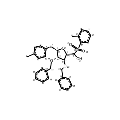 Cc1ccc(S[C@H]2O[C@@H](C(O)S(=O)(=O)c3ccccc3C)[C@@H](OCc3ccccc3)[C@@H]2OCc2ccccc2)cc1